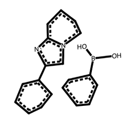 OB(O)c1ccccc1.c1ccc(-c2cn3ccccc3n2)cc1